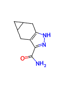 NC(=O)c1n[nH]c2c1CC1CC1C2